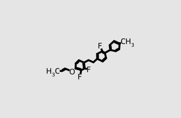 C/C=C/Oc1ccc(CCc2ccc(-c3ccc(C)cc3)c(F)c2)c(F)c1F